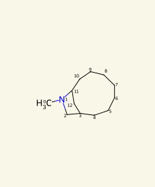 CN1CC2CCCCCCCC1C2